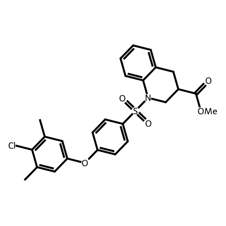 COC(=O)C1Cc2ccccc2N(S(=O)(=O)c2ccc(Oc3cc(C)c(Cl)c(C)c3)cc2)C1